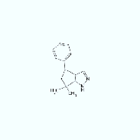 CC1(C)CC(c2ccccc2)c2cn[nH]c21